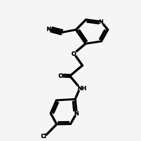 N#Cc1cnccc1OCC(=O)Nc1ccc(Cl)cn1